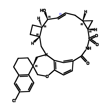 O=C1NS(=O)(=O)[C@H]2C[C@H]2C/C=C/[C@H](O)[C@@H]2CC[C@H]2CN2C[C@@]3(CCCc4cc(Cl)ccc43)COc3ccc1cc32